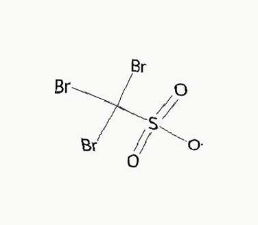 [O]S(=O)(=O)C(Br)(Br)Br